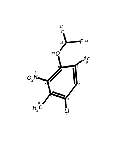 CC(=O)c1cc(Cl)c(C)c([N+](=O)[O-])c1OC(F)F